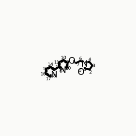 O=C1CCCN1CCOc1ccc(-c2ccccn2)nc1